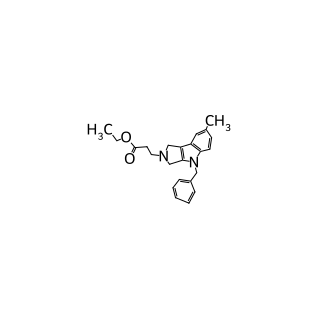 CCOC(=O)CCN1Cc2c(n(Cc3ccccc3)c3ccc(C)cc23)C1